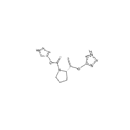 O=C(Oc1c[nH]nn1)[C@@H]1CCCN1C(=O)Oc1c[nH]nn1